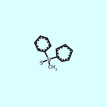 C[Si]([S])(c1ccccc1)c1ccccc1